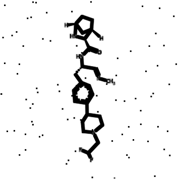 C/N=C/[C@H](Cc1ccc(C2CCN(CC(F)F)CC2)cc1)NC(=O)[C@H]1N[C@@H]2CC[C@H]1C2